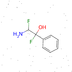 NC(F)C(O)(F)c1ccccc1